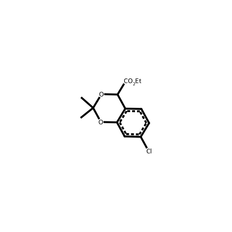 CCOC(=O)C1OC(C)(C)Oc2cc(Cl)ccc21